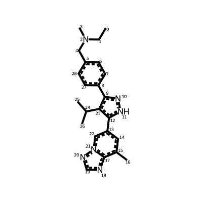 CCN(C)Cc1ccc(-c2n[nH]c(-c3cc(C)c4ncnn4c3)c2C(C)C)cc1